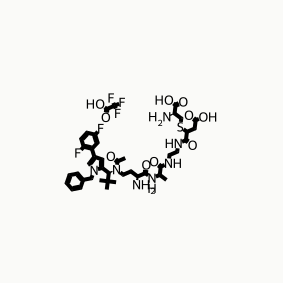 CC(=O)N(CC[C@H](N)C(=O)NC(C)C(=O)NCCNC(=O)C(CC(=O)O)SC[C@H](N)C(=O)O)[C@@H](c1cc(-c2cc(F)ccc2F)cn1Cc1ccccc1)C(C)(C)C.O=C(O)C(F)(F)F